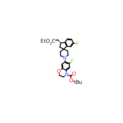 CCOC(=O)C[C@@H]1CC2(CCN(c3cc4c(cc3F)N(C(=O)OC(C)(C)C)CCO4)CC2)c2cc(F)ccc21